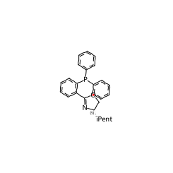 CCCC(C)[C@H]1COC(c2ccccc2P(c2ccccc2)c2ccccc2)=N1